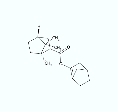 CC1(C)[C@@H]2CC[C@]1(C)C(C(=O)OC1=C3CCC(C3)C1)C2